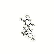 Nc1nc(=O)n([C@@H]2O[C@H](CO)[C@](O)(Cl)[C@]2(O)Cl)cc1F